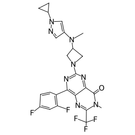 CN(c1cnn(C2CC2)c1)C1CN(c2nc(-c3ccc(F)cc3F)c3nc(C(F)(F)F)n(C)c(=O)c3n2)C1